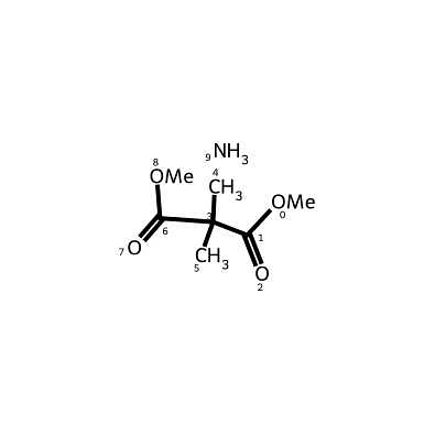 COC(=O)C(C)(C)C(=O)OC.N